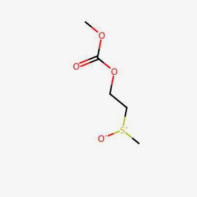 COC(=O)OCC[S+](C)[O-]